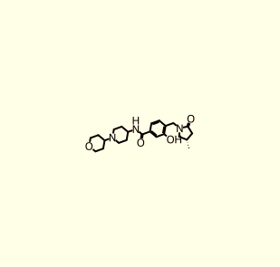 C[C@H]1CC(=O)N(Cc2ccc(C(=O)NC3CCN(C4CCOCC4)CC3)cc2O)C1